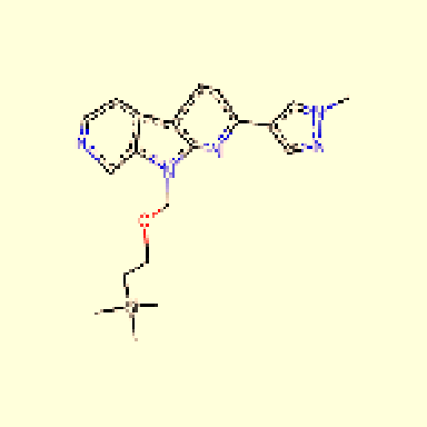 Cn1cc(-c2ccc3c4ccncc4n(COCC[Si](C)(C)C)c3n2)cn1